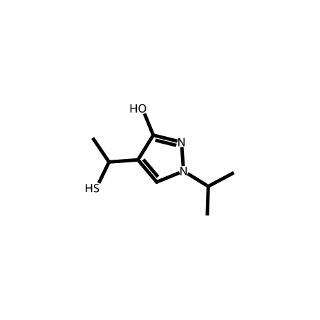 CC(S)c1cn(C(C)C)nc1O